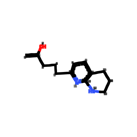 C=C(O)CCCc1ccc2c(n1)NCCC2